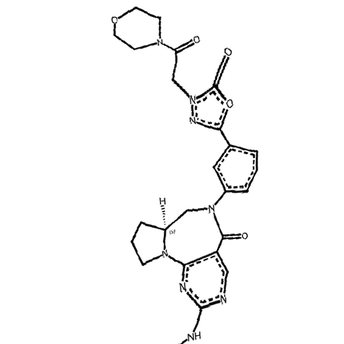 CNc1ncc2c(n1)N1CCC[C@H]1CN(c1cccc(-c3nn(CC(=O)N4CCOCC4)c(=O)o3)c1)C2=O